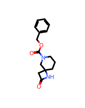 O=C1CC2(CCCN(C(=O)OCc3ccccc3)C2)N1